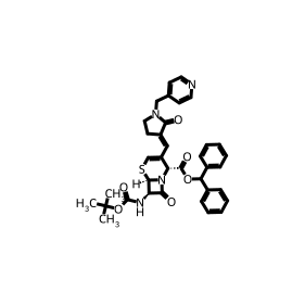 CC(C)(C)OC(=O)N[C@@H]1C(=O)N2[C@@H](C(=O)OC(c3ccccc3)c3ccccc3)C(/C=C3\CCN(Cc4ccncc4)C3=O)=CS[C@H]12